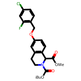 COC(=O)C1c2ccc(OCc3ccc(Cl)cc3F)cc2CCN1C(=O)OCC(C)C